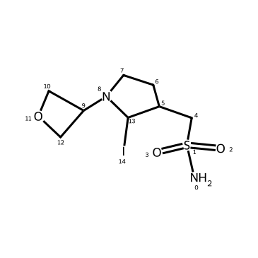 NS(=O)(=O)CC1CCN(C2COC2)C1I